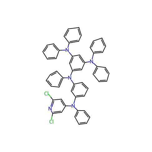 Clc1cc(N(c2ccccc2)c2cccc(N(c3ccccc3)c3cc(N(c4ccccc4)c4ccccc4)cc(N(c4ccccc4)c4ccccc4)c3)c2)cc(Cl)n1